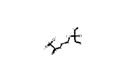 C=C(CCCNC(Cl)(CC)CC)C(=O)O